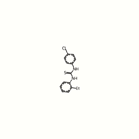 CCc1ccccc1NC(=S)Nc1ccc(Cl)cc1